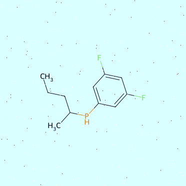 CCCC(C)Pc1cc(F)cc(F)c1